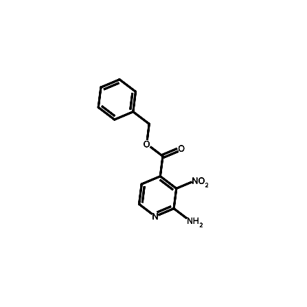 Nc1nccc(C(=O)OCc2ccccc2)c1[N+](=O)[O-]